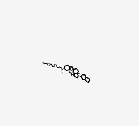 CCCOCCOCCN[C@H]1CCC2=CC3=CC[C@]4(C)[C@@H](c5ccc6ccccc6c5)CC[C@H]4[C@@]34CC[C@]2(C1)O4